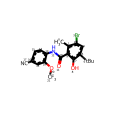 Cc1c(Br)cc(C(C)(C)C)c(O)c1C(=O)Nc1ccc(C#N)cc1OC(F)(F)F